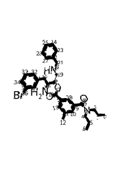 CCCN(CCC)C(=O)c1cc(C)cc(C(=O)O[C@H](CNCc2ccccc2)[C@@H](N)Cc2cccc(Br)c2)c1